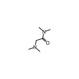 CN(C)CC(=O)N(C)C